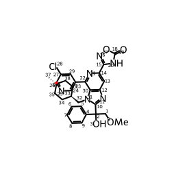 COCC(O)(c1ccccc1)c1nc2cc(-c3noc(=O)[nH]3)nc(-c3cncc(Cl)c3)c2n1C[C@H]1CC[C@H](C)CC1